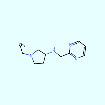 CCN1CC[C@@H](NCc2ncccn2)C1